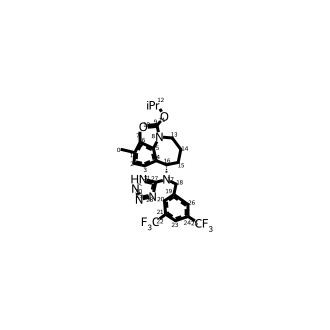 Cc1ccc2c(c1C)N(C(=O)OC(C)C)CCC[C@@H]2N(Cc1cc(C(F)(F)F)cc(C(F)(F)F)c1)c1nnn[nH]1